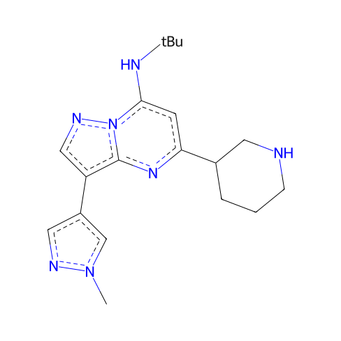 Cn1cc(-c2cnn3c(NC(C)(C)C)cc(C4CCCNC4)nc23)cn1